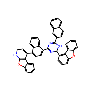 C1=C(c2ccc(C3=NC(c4cccc5oc6ccccc6c45)NC(c4ccc5ccccc5c4)=N3)c3ccccc23)c2c(oc3ccccc23)NC1